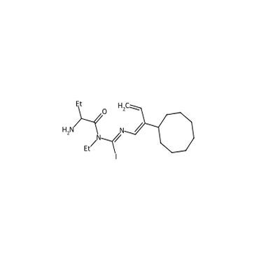 C=C/C(=C\N=C(/I)N(CC)C(=O)C(N)CC)C1CCCCCCC1